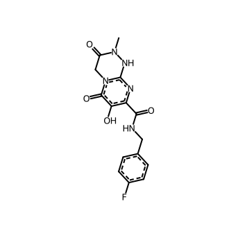 CN1Nc2nc(C(=O)NCc3ccc(F)cc3)c(O)c(=O)n2CC1=O